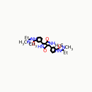 CCC(NC(=O)c1cccc(C2=C3C(=O)NC(c4cccc(C(=O)NC(CC)N(C)C)c4)=C3C(=O)N2)c1)N(C)C